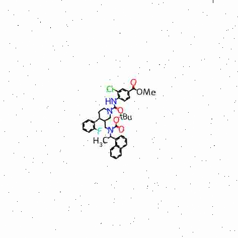 COC(=O)c1ccc(NC(=O)N2CCC(c3ccccc3F)C(CN(C(=O)OC(C)(C)C)[C@H](C)c3cccc4ccccc34)C2)c(Cl)c1